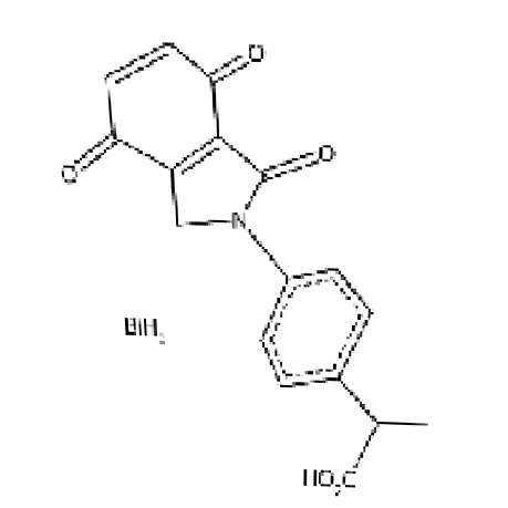 CC(C(=O)O)c1ccc(N2CC3=C(C(=O)C=CC3=O)C2=O)cc1.[BiH3]